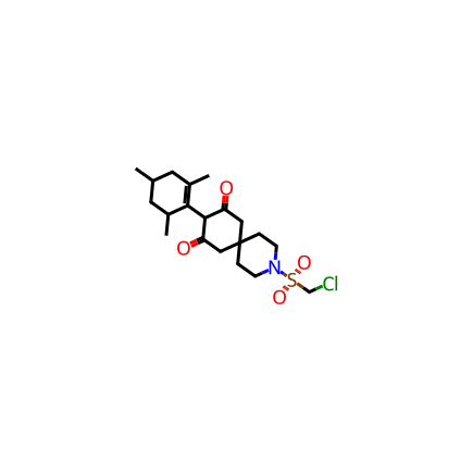 CC1=C(C2C(=O)CC3(CCN(S(=O)(=O)CCl)CC3)CC2=O)C(C)CC(C)C1